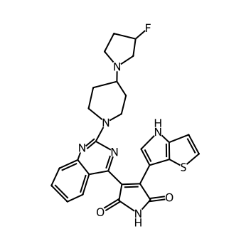 O=C1NC(=O)C(c2c[nH]c3ccsc23)=C1c1nc(N2CCC(N3CCC(F)C3)CC2)nc2ccccc12